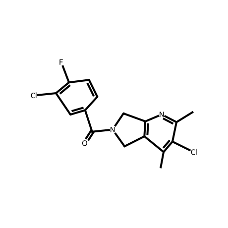 Cc1nc2c(c(C)c1Cl)CN(C(=O)c1ccc(F)c(Cl)c1)C2